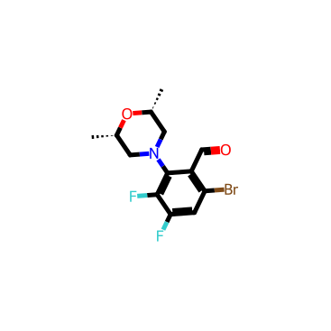 C[C@@H]1CN(c2c(F)c(F)cc(Br)c2C=O)C[C@H](C)O1